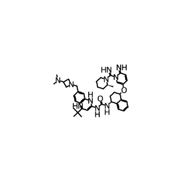 C[C@H]1CCCCN1C(=N)n1cc(O[C@@H]2CC[C@H](NC(=O)N/C(=C/C(=N)C(C)(C)C)Nc3cccc(CN4CC(N(C)C)C4)c3)c3ccccc32)ccc1=N